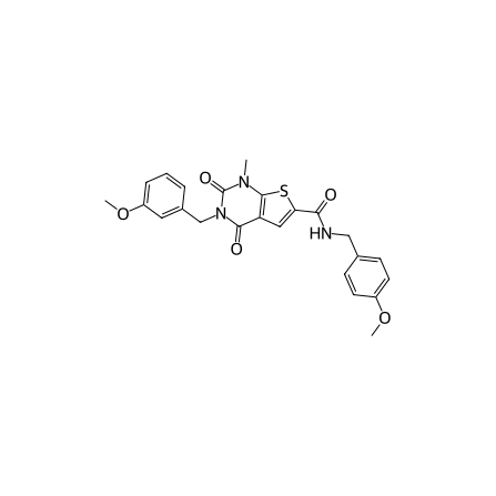 COc1ccc(CNC(=O)c2cc3c(=O)n(Cc4cccc(OC)c4)c(=O)n(C)c3s2)cc1